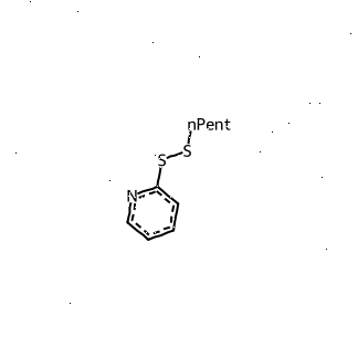 CCCCCSSc1ccccn1